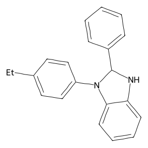 CCc1ccc(N2c3ccccc3NC2c2ccccc2)cc1